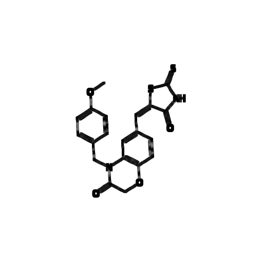 COc1ccc(CN2C(=O)COc3ccc(C=C4SC(=S)NC4=O)cc32)cc1